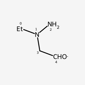 CCN(N)C[C]=O